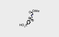 COC(=O)/C=C/CS(=O)(=O)c1ccc(C(=O)O)cc1